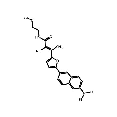 CCOCCNC(=O)/C(C#N)=C(\C)c1ccc(-c2ccc3cc(N(CC)CC)ccc3c2)o1